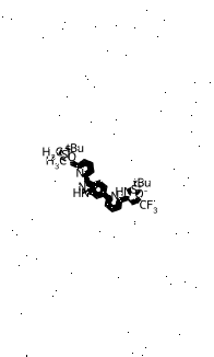 CC(C)(C)[S@@+]([O-])N[C@@H](CCC(F)(F)F)c1cccc(-c2ccc3c(-c4cccc(CO[Si](C)(C)C(C)(C)C)n4)n[nH]c3c2)n1